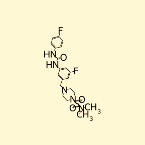 CN(C)S(=O)(=O)N1CCN(Cc2cc(F)cc(NC(=O)Nc3ccc(F)cc3)c2)CC1